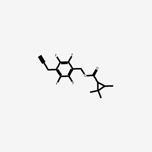 C#CCc1c(F)c(F)c(COC(=O)C2C(C)C2(C)C)c(F)c1F